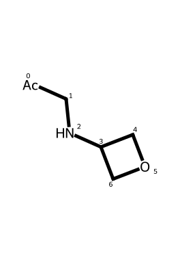 CC(=O)CNC1COC1